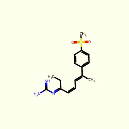 CCC(/C=C\C=C(/C)c1ccc(S(C)(=O)=O)cc1)=N\C(=N)N